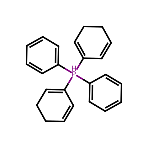 C1=CC([PH](C2=CCCC=C2)(c2ccccc2)c2ccccc2)=CCC1